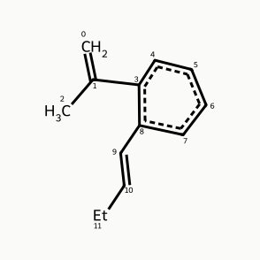 C=C(C)c1ccccc1C=CCC